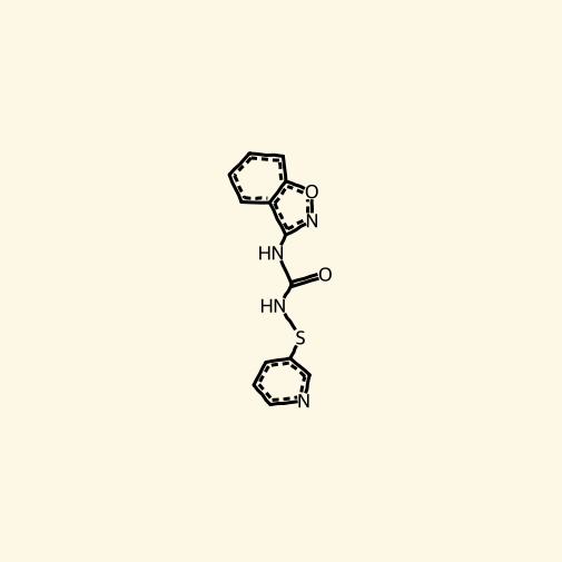 O=C(NSc1cccnc1)Nc1noc2ccccc12